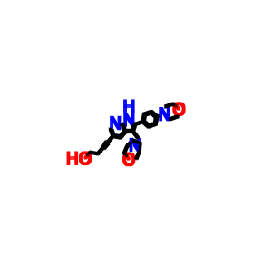 OCCC#Cc1cnc2[nH]c(-c3ccc(N4CCOCC4)cc3)c(CN3C4CCC3COC4)c2c1